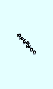 c1cncc(-c2ccc(-c3cnc(-c4cccc(-c5ncc(-c6ccc(-c7cccnc7)nc6)o5)c4)o3)cn2)c1